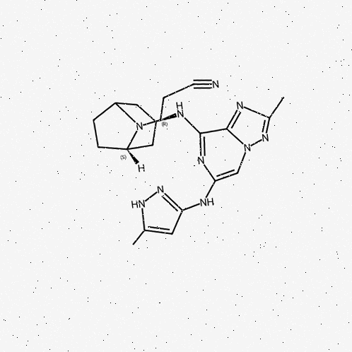 Cc1nc2c(N[C@@H]3CC4CC[C@@H](C3)N4CCC#N)nc(Nc3cc(C)[nH]n3)cn2n1